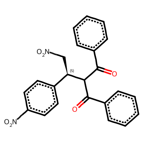 O=C(c1ccccc1)C(C(=O)c1ccccc1)[C@H](C[N+](=O)[O-])c1ccc([N+](=O)[O-])cc1